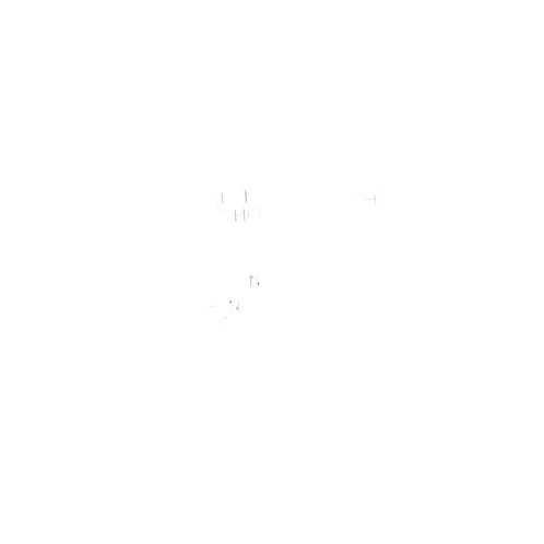 Cl.Cl.NN1CC(CCO)C1